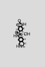 Cl.O=c1[nH]c2ccc(S(=O)(=O)Nc3ccc4c(c3)CNCC4)cc2o1